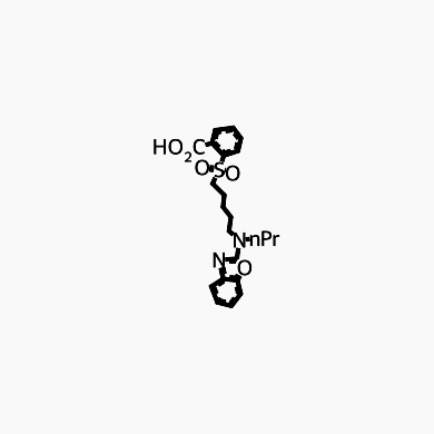 CCCN(CCCCCS(=O)(=O)c1ccccc1C(=O)O)c1nc2ccccc2o1